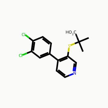 CC(C)(Sc1cnccc1-c1ccc(Cl)c(Cl)c1)C(=O)O